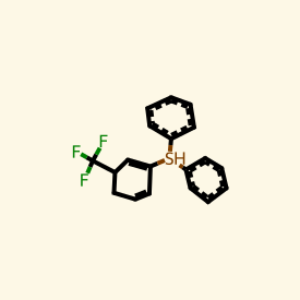 FC(F)(F)C1C=C([SH](c2ccccc2)c2ccccc2)C=CC1